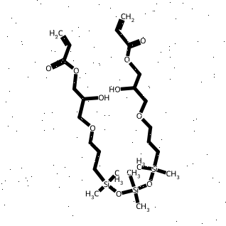 C=CC(=O)OCC(O)COCCC[Si](C)(C)O[Si](C)(C)O[Si](C)(C)CCCOCC(O)COC(=O)C=C